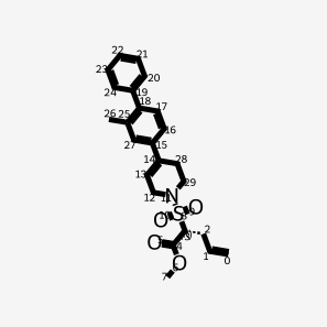 C=CC[C@H](C(=O)OC)S(=O)(=O)N1CC=C(c2ccc(-c3ccccc3)c(C)c2)CC1